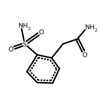 NC(=O)Cc1ccccc1S(N)(=O)=O